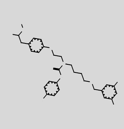 CCOC(Cc1ccc(OCCN(CCCCOCc2cc(Cl)cc(Cl)c2)C(=O)Nc2ccc([N+](=O)[O-])cc2)cc1)C(=O)O